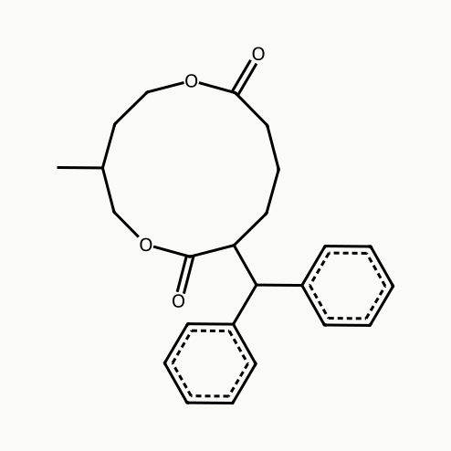 CC1CCOC(=O)CCCC(C(c2ccccc2)c2ccccc2)C(=O)OC1